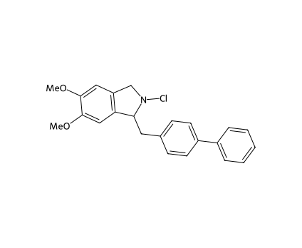 COc1cc2c(cc1OC)C(Cc1ccc(-c3ccccc3)cc1)N(Cl)C2